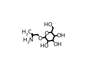 C=C(N)COC1OC(CO)C(O)C(O)C1O